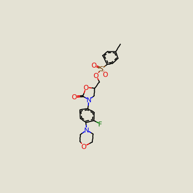 Cc1ccc(S(=O)(=O)OCC2CN(c3ccc(N4CCOCC4)c(F)c3)C(=O)O2)cc1